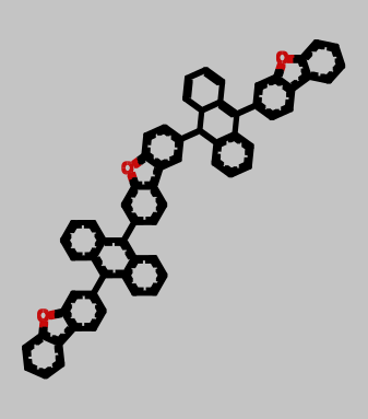 C1=CC2=C(c3ccc4c(c3)oc3ccccc34)c3ccccc3C(c3ccc4oc5cc(-c6c7ccccc7c(-c7ccc8c(c7)oc7ccccc78)c7ccccc67)ccc5c4c3)C2C=C1